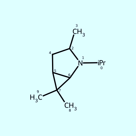 CC(C)N1C(C)CC2C1C2(C)C